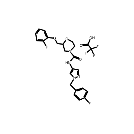 O=C(Nc1cnn(Cc2ccc(F)cc2)c1)N1CCOC(COc2ccccc2F)C1.O=C(O)C(F)(F)F